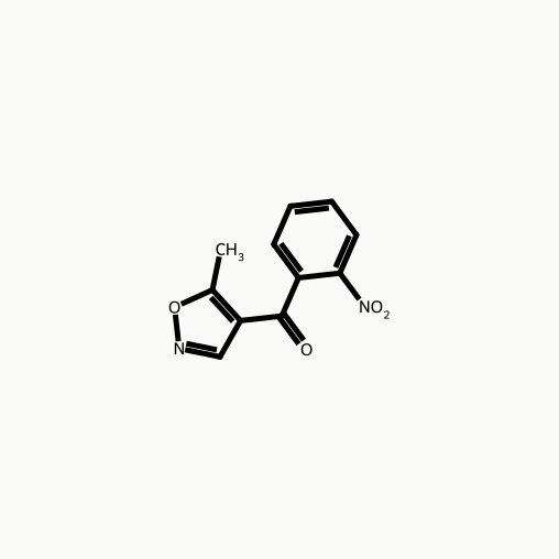 Cc1oncc1C(=O)c1ccccc1[N+](=O)[O-]